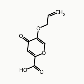 C=CCOc1coc(C(=O)O)cc1=O